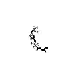 C=C/C(C)=C\C=C(/C)S(=O)(=O)NCc1cn(CB(O)O)nn1